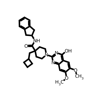 COc1cc2nc(N3CCC(CC4CCC4)(C(=O)NC4Cc5ccccc5C4)CC3)nc(O)c2cc1OC